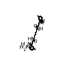 Cc1ccc(N)c(N(N)CCC(=O)NCCCCCCNC(=O)CCn2nnc3ccc(C)cc32)c1